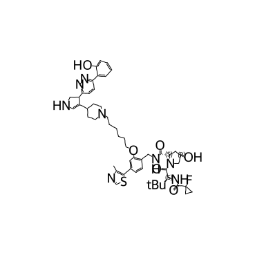 Cc1ncsc1-c1ccc(CNC(=O)[C@@H]2C[C@@H](O)CN2C(=O)[C@@H](NC(=O)C2(F)CC2)C(C)(C)C)c(OCCCCCCN2CCC(C3=CNCC3c3ccc(-c4ccccc4O)nn3)CC2)c1